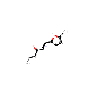 CC(=O)CCC(=O)/C=C/c1ccc(C)o1